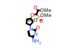 COC(=O)C(O[C@@H]1CC[C@H](n2ccc(N)nc2=O)C1)P(=O)(OC)OC